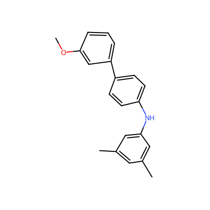 COc1cccc(-c2ccc(Nc3cc(C)cc(C)c3)cc2)c1